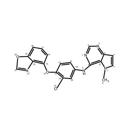 Cn1ccc2ncnc(Nc3ccc(Oc4cccc5ocnc45)c(Cl)c3)c21